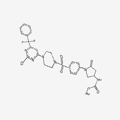 CC(C)(C)OC(=O)NC1CC(=O)N(c2ccc(S(=O)(=O)N3CCN(c4cc(C(F)(F)c5ccccc5)nc(Cl)n4)CC3)cc2)C1